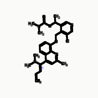 C=C/C=C(/c1cc(C)nc2c(OCc3c(Cl)cncc3C(C)OC(=O)N(C)C)cccc12)N(C)C